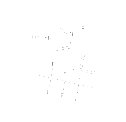 CCCCn1cc[n+](CC)c1.O=S(=O)([O-])C(F)(F)C(F)(F)C(F)(F)C(F)(F)F